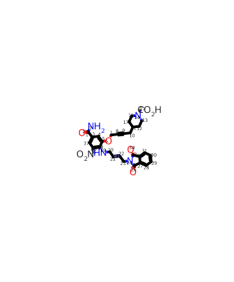 NC(=O)c1cc(OCC#CCC2CCN(C(=O)O)CC2)c(NC/C=C/CN2C(=O)c3ccccc3C2=O)c([N+](=O)[O-])c1